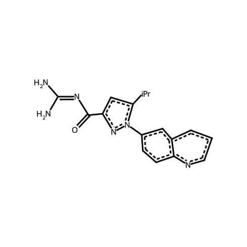 CC(C)c1cc(C(=O)N=C(N)N)nn1-c1ccc2ncccc2c1